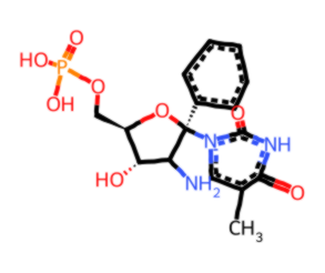 Cc1cn([C@]2(c3ccccc3)O[C@H](COP(=O)(O)O)[C@@H](O)C2N)c(=O)[nH]c1=O